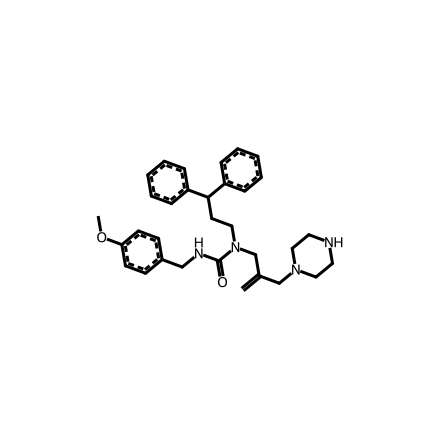 C=C(CN1CCNCC1)CN(CCC(c1ccccc1)c1ccccc1)C(=O)NCc1ccc(OC)cc1